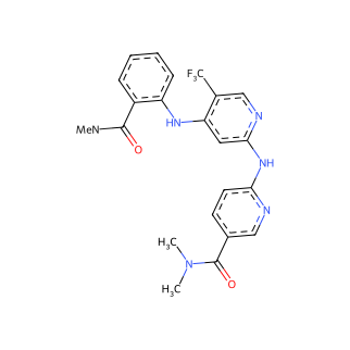 CNC(=O)c1ccccc1Nc1cc(Nc2ccc(C(=O)N(C)C)cn2)ncc1C(F)(F)F